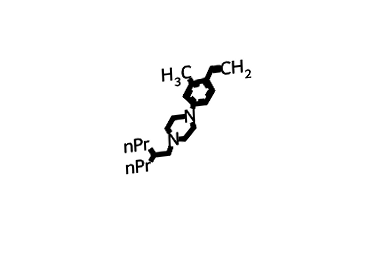 C=Cc1ccc(N2CCN(CC(CCC)CCC)CC2)cc1C